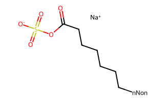 CCCCCCCCCCCCCCCC(=O)OS(=O)(=O)[O-].[Na+]